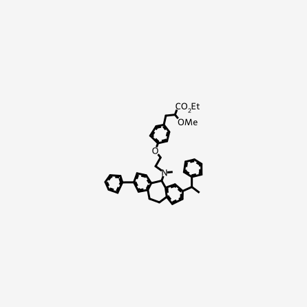 CCOC(=O)C(Cc1ccc(OCCN(C)C2c3ccc(-c4ccccc4)cc3CCc3ccc(C(C)c4ccccc4)cc32)cc1)OC